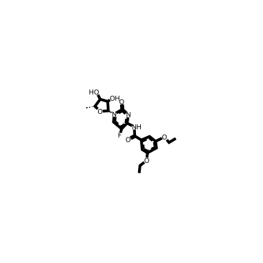 CCOc1cc(OCC)cc(C(=O)Nc2nc(=O)n([C@@H]3O[C@H](C)C(O)C3O)cc2F)c1